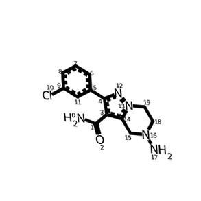 NC(=O)c1c(-c2cccc(Cl)c2)nn2c1CN(N)CC2